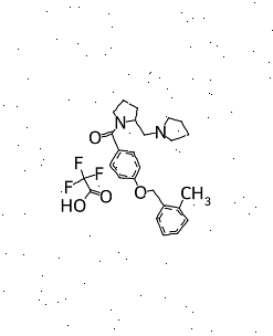 Cc1ccccc1COc1ccc(C(=O)N2CCCC2CN2CCCC2)cc1.O=C(O)C(F)(F)F